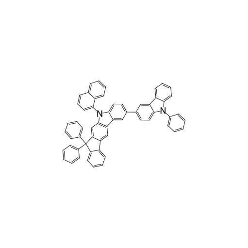 c1ccc(-n2c3ccccc3c3cc(-c4ccc5c(c4)c4cc6c(cc4n5-c4cccc5ccccc45)C(c4ccccc4)(c4ccccc4)c4ccccc4-6)ccc32)cc1